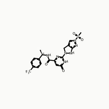 C[C@@H](NC(=O)c1cc(=O)[nH]c(N2Cc3cn(S(C)(=O)=O)nc3N2)n1)c1ccc(C(F)(F)F)cc1